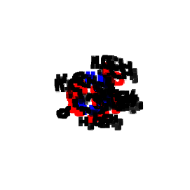 CC(C)(C)OC(=O)CC[C@@H](C(=O)OC(C)(C)C)N(C(=O)CC[C@H](NC(=O)CC[C@H](NC(=O)CC[C@H](N)C(=O)OC(C)(C)C)C(=O)OC(C)(C)C)C(=O)OC(C)(C)C)C(=O)OCc1ccccc1